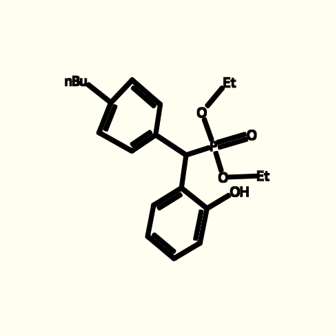 CCCCc1ccc(C(c2ccccc2O)P(=O)(OCC)OCC)cc1